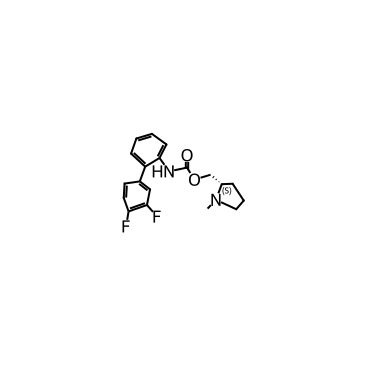 CN1CCC[C@H]1COC(=O)Nc1ccccc1-c1ccc(F)c(F)c1